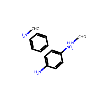 NC=O.NC=O.Nc1ccc(N)cc1.c1ccccc1